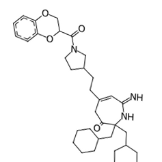 N=C1C=C(CCC2CCN(C(=O)C3COc4ccccc4O3)C2)CC(=O)C(CC2CCCCC2)(CC2CCCCC2)N1